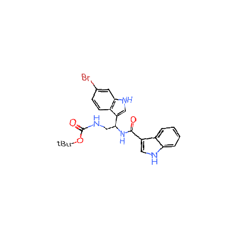 CC(C)(C)OC(=O)NCC(NC(=O)c1c[nH]c2ccccc12)c1c[nH]c2cc(Br)ccc12